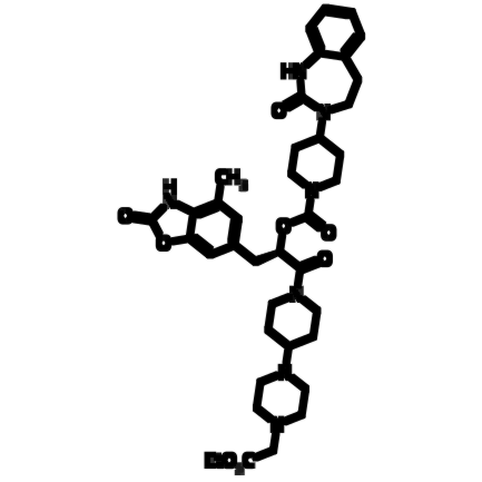 CCOC(=O)CN1CCN(C2CCN(C(=O)[C@@H](Cc3cc(C)c4[nH]c(=O)oc4c3)OC(=O)N3CCC(N4CCc5ccccc5NC4=O)CC3)CC2)CC1